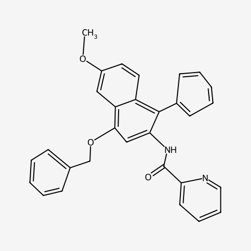 COc1ccc2c(-c3ccccc3)c(NC(=O)c3ccccn3)cc(OCc3ccccc3)c2c1